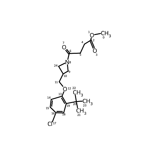 COC(=O)CCC(=O)N1CC(COc2ccc(Cl)cc2C(C)(C)C)C1